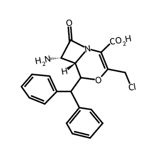 N[C@@H]1C(=O)N2C(C(=O)O)=C(CCl)OC(C(c3ccccc3)c3ccccc3)[C@H]12